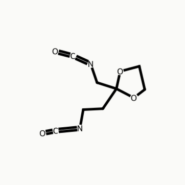 O=C=NCCC1(CN=C=O)OCCO1